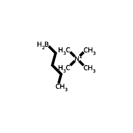 BCCCC.C[N+](C)(C)C